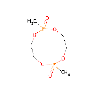 CP1(=O)OCCOP(C)(=O)OCCO1